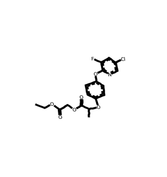 CCOC(=O)COC(=O)C(C)Oc1ccc(Oc2ncc(Cl)cc2F)cc1